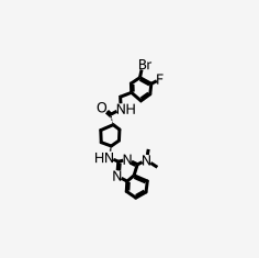 CN(C)c1nc(N[C@H]2CC[C@@H](C(=O)NCc3ccc(F)c(Br)c3)CC2)nc2ccccc12